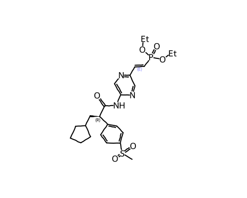 CCOP(=O)(/C=C/c1cnc(NC(=O)[C@H](CC2CCCC2)c2ccc(S(C)(=O)=O)cc2)cn1)OCC